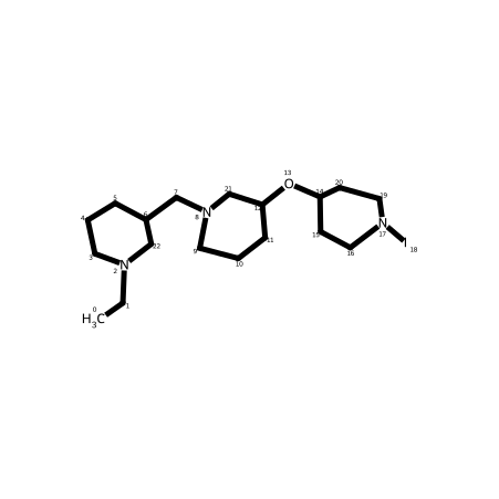 CCN1CCCC(CN2CCCC(OC3CCN(I)CC3)C2)C1